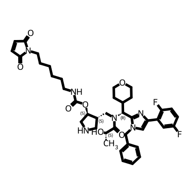 C[C@H](O)C(=O)N(C[C@@H]1CNC[C@H]1OC(=O)NCCCCCCN1C(=O)C=CC1=O)[C@@H](c1nc(-c2cc(F)ccc2F)cn1Cc1ccccc1)C1CCOCC1